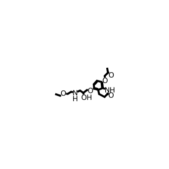 CCOCCNCC(O)COc1ccc(OCC(C)=O)c2c1CCC(=O)N2